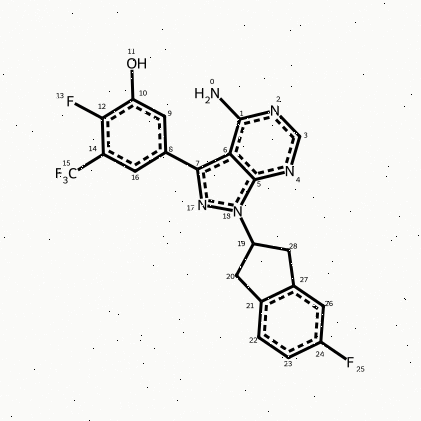 Nc1ncnc2c1c(-c1cc(O)c(F)c(C(F)(F)F)c1)nn2C1Cc2ccc(F)cc2C1